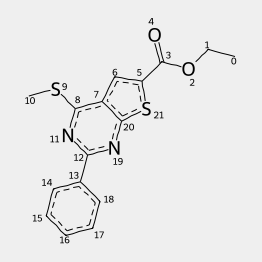 CCOC(=O)c1cc2c(SC)nc(-c3ccccc3)nc2s1